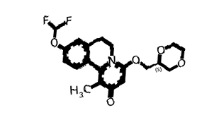 Cc1c2n(c(OC[C@@H]3COCCO3)cc1=O)CCc1cc(OC(F)F)ccc1-2